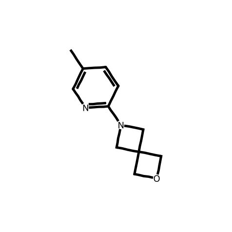 Cc1ccc(N2CC3(COC3)C2)nc1